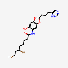 O=C(CCCCC(S)CCS)Nc1cc2c(cc1O)OC(CCCc1cnc[nH]1)O2